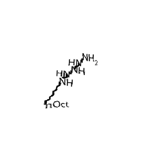 CCCCCCCC/C=C\CCCCCCCCNCCNCCNCCNCCN